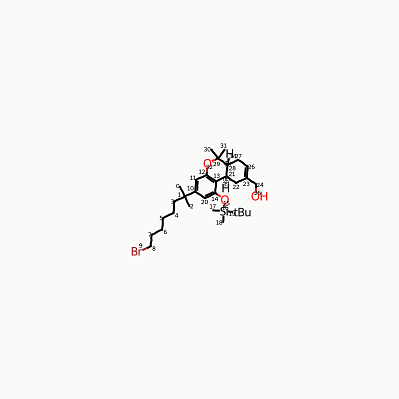 CC(C)(CCCCCCBr)c1cc2c(c(O[Si](C)(C)C(C)(C)C)c1)[C@@H]1CC(CO)=CC[C@H]1C(C)(C)O2